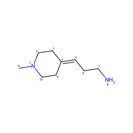 CN1CCC(=CCCN)CC1